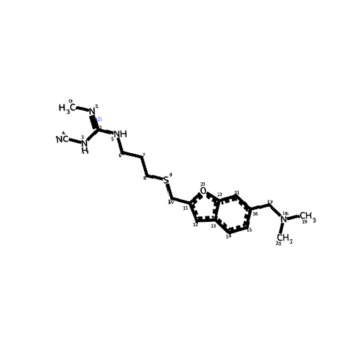 C/N=C(\NC#N)NCCCSCc1cc2ccc(CN(C)C)cc2o1